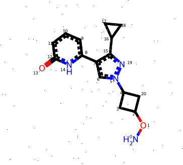 NOC1CC(n2cc(-c3cccc(=O)[nH]3)c(C3CC3)n2)C1